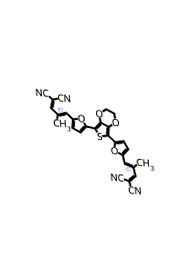 C/C(C=C(C#N)C#N)=C\c1ccc(-c2sc(-c3ccc(/C=C(\C)C=C(C#N)C#N)o3)c3c2OCCO3)o1